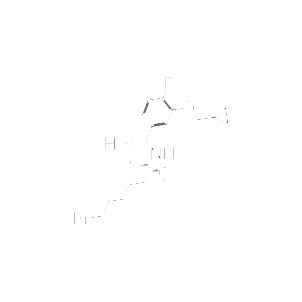 C[C@@H](NS(=O)(=O)CCCCCBr)c1ccc(F)c(OCC2CC2)c1